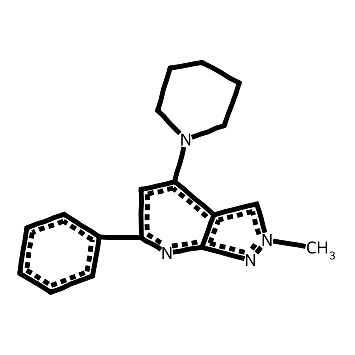 Cn1cc2c(N3CCCCC3)cc(-c3ccccc3)nc2n1